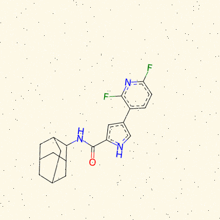 O=C(NC1C2CC3CC(C2)CC1C3)c1cc(-c2ccc(F)nc2F)c[nH]1